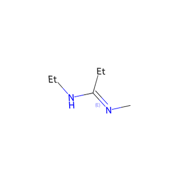 CCN/C(CC)=N/C